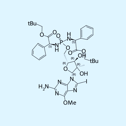 COc1nc(N)nc2c1nc(I)n2[C@@H]1O[C@H](COP(=O)(N[C@H](C(=O)OCC(C)(C)C)c2ccccc2)N[C@H](C(=O)OCC(C)(C)C)c2ccccc2)[C@@H](O)[C@@]1(C)O